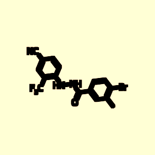 Cc1cc(C(=O)NNc2ccc(C#N)cc2C(F)(F)F)ccc1Br